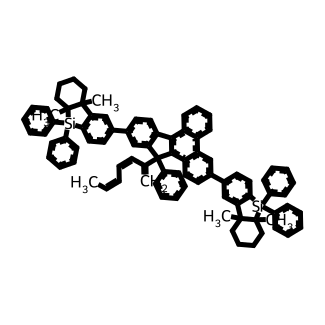 C=C(/C=C\C=C/C)C1(c2ccccc2)c2cc(-c3ccc4c(c3)C3(C)CCCCC3(C)[Si]4(c3ccccc3)c3ccccc3)ccc2-c2c1c1ccc(-c3ccc4c(c3)C3(C)CCCCC3(C)[Si]4(c3ccccc3)c3ccccc3)cc1c1ccccc21